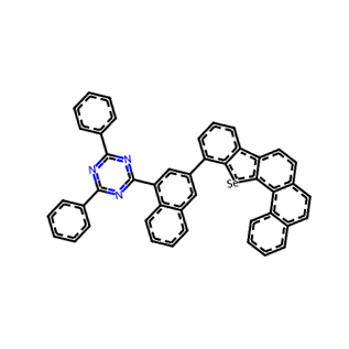 c1ccc(-c2nc(-c3ccccc3)nc(-c3cc(-c4cccc5c4[se]c4c5ccc5ccc6ccccc6c54)cc4ccccc34)n2)cc1